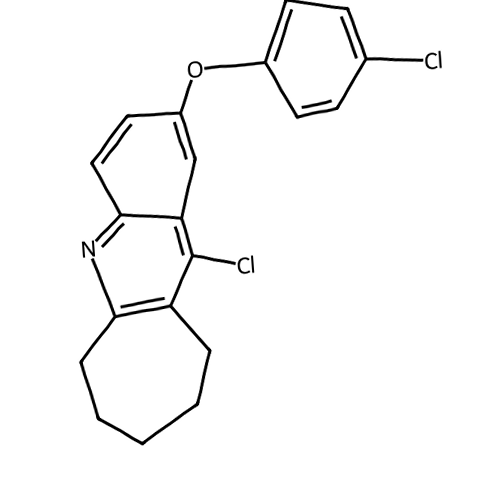 Clc1ccc(Oc2ccc3nc4c(c(Cl)c3c2)CCCCC4)cc1